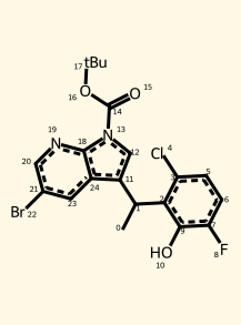 CC(c1c(Cl)ccc(F)c1O)c1cn(C(=O)OC(C)(C)C)c2ncc(Br)cc12